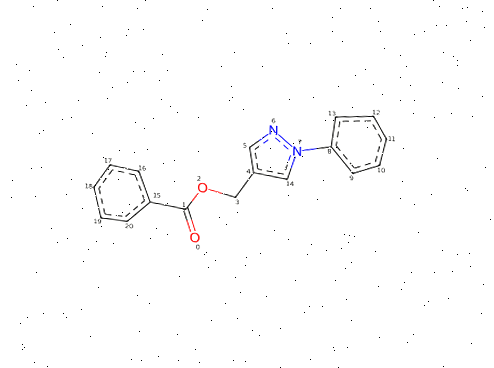 O=C(OCc1cnn(-c2ccccc2)c1)c1ccccc1